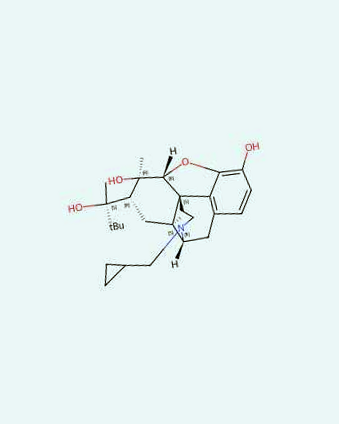 CC(C)(C)[C@@](C)(O)[C@H]1C[C@]2(C)[C@H]3Cc4ccc(O)c5c4[C@@]2(CCN3CC2CC2)[C@@H](O5)[C@]1(C)O